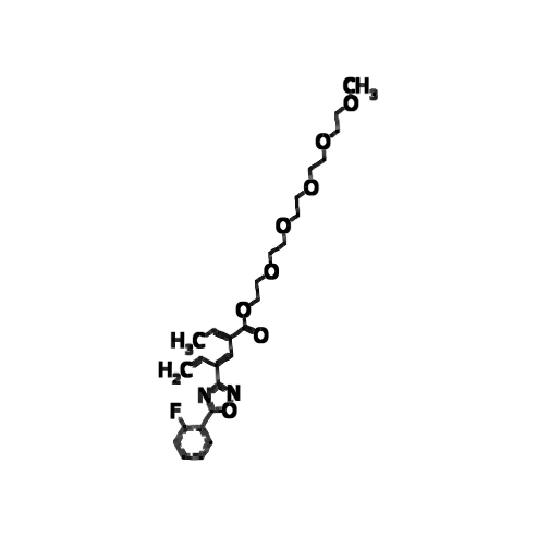 C=C/C(=C\C(=C/C)C(=O)OCCOCCOCCOCCOCCOC)c1noc(-c2ccccc2F)n1